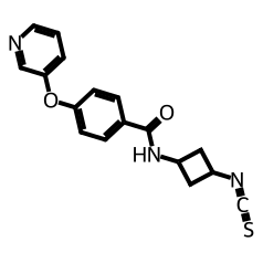 O=C(NC1CC(N=C=S)C1)c1ccc(Oc2cccnc2)cc1